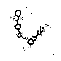 COc1cc(OCc2csc(-c3ccc(C(=O)N[C@@H]4CCCC[C@H]4O)cc3)n2)c2sc(-c3cn4nc(C)sc4n3)nc2c1